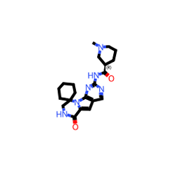 CN1CCC[C@@H](C(=O)Nc2ncc3cc4n(c3n2)C2(CCCCC2)CNC4=O)C1